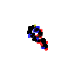 CS(=O)(=O)N1CCC(C(=O)NCC(=O)NC2NC(c3cccc(C4CCNC(N5CCN(C(=O)C6CC6CNC(=O)COc6cccc7c6C(=O)N(C6CCC(=O)NC6=O)C7=O)CC5)C4)c3)CS2)C1